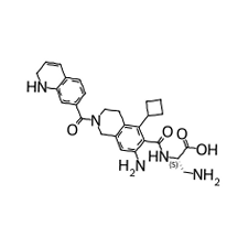 NC[C@H](NC(=O)c1c(N)cc2c(c1C1CCC1)CCN(C(=O)c1ccc3c(c1)NCC=C3)C2)C(=O)O